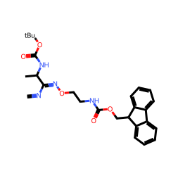 C=N/C(=N\OCCNC(=O)OCC1c2ccccc2-c2ccccc21)C(C)NC(=O)OC(C)(C)C